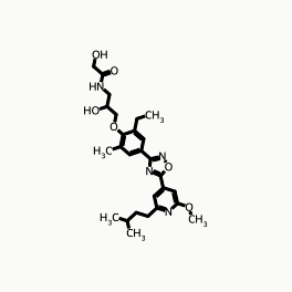 CCc1cc(-c2noc(-c3cc(CCC(C)C)nc(OC)c3)n2)cc(C)c1OCC(O)CNC(=O)CO